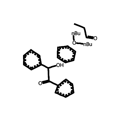 CCC=O.CCCCOCCCC.O=C(c1ccccc1)C(O)c1ccccc1.c1ccccc1